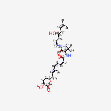 COC1=CC[C@@H]([C@@H](C)/C=C(C)/C=C\C=C/C(=O)N[C@H](C(=O)N/C=C\C[C@H](O)CC=C(C)C)C(C)(C)C)OC1=O